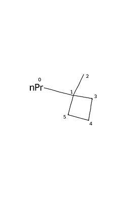 CCCC1(C)CCC1